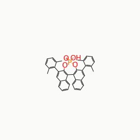 Cc1cccc(C)c1-c1cc2ccccc2c2c1OP(=O)(O)Oc1c(-c3c(C)cccc3C)cc3ccccc3c1-2